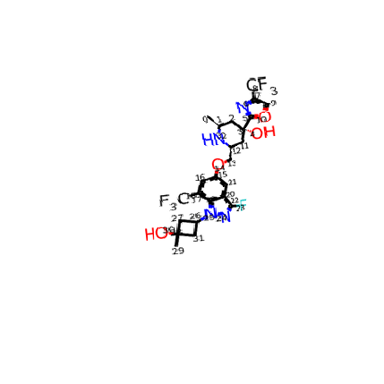 C[C@H]1C[C@@](O)(c2nc(C(F)(F)F)co2)C[C@@H](COc2cc(C(F)(F)F)c3c(c2)c(F)nn3C2CC(C)(O)C2)N1